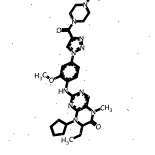 CCC1C(=O)N(C)c2cnc(Nc3ccc(-n4cc(C(=O)N5CCN(C)CC5)nn4)cc3OC)nc2N1C1CCCC1